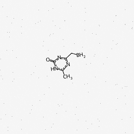 BCc1nc(C)[nH]c(=O)n1